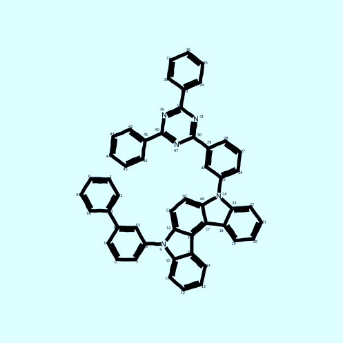 c1ccc(-c2cccc(-n3c4ccccc4c4c5c6ccccc6n(-c6cccc(-c7nc(-c8ccccc8)nc(-c8ccccc8)n7)c6)c5ccc43)c2)cc1